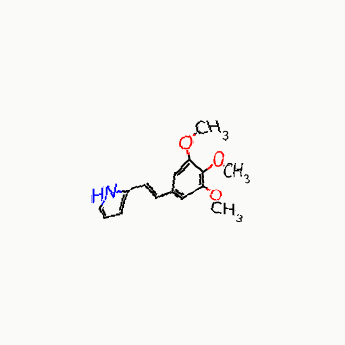 COc1cc(C=Cc2ccc[nH]2)cc(OC)c1OC